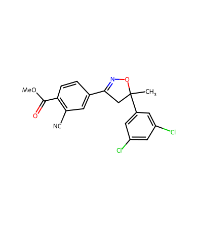 COC(=O)c1ccc(C2=NOC(C)(c3cc(Cl)cc(Cl)c3)C2)cc1C#N